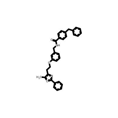 Cc1oc(-c2ccccc2)nc1CCOc1cccc(CNC(=O)c2ccc(Cc3ccccc3)cc2)c1